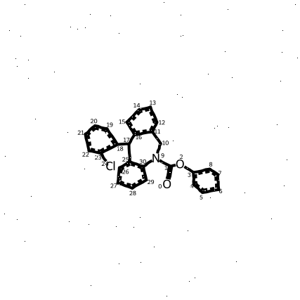 O=C(Oc1ccccc1)N1Cc2ccccc2C(c2ccccc2Cl)c2ccccc21